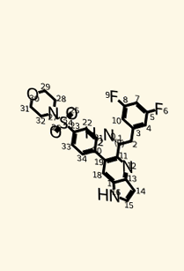 N[C@H](Cc1cc(F)cc(F)c1)c1nc2cc[nH]c2cc1-c1ccc(S(=O)(=O)N2CCOCC2)cc1